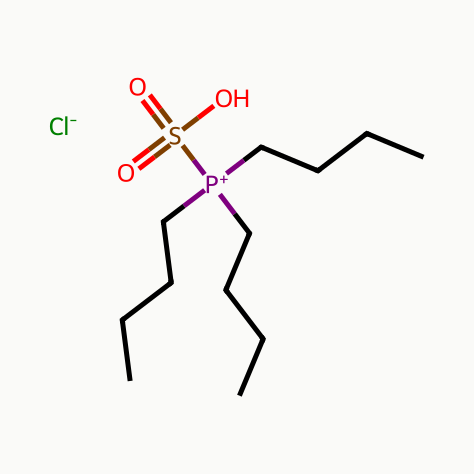 CCCC[P+](CCCC)(CCCC)S(=O)(=O)O.[Cl-]